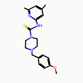 COc1ccc(CN2CCN(C(=S)Nc3cc(C)cc(C)n3)CC2)cc1